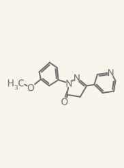 COc1cccc(N2N=C(c3cccnc3)CC2=O)c1